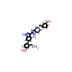 CCc1cc(O)c(F)cc1-c1ccc2c(-c3nc4c([nH]3)CCN(Cc3cccc(O)c3)C4)n[nH]c2c1